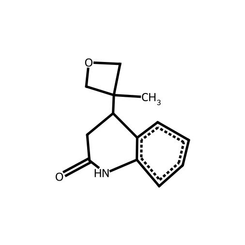 CC1(C2CC(=O)Nc3ccccc32)COC1